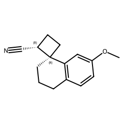 COc1ccc2c(c1)[C@]1(CCC2)CC[C@H]1C#N